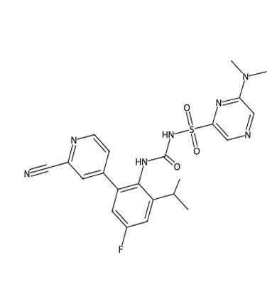 CC(C)c1cc(F)cc(-c2ccnc(C#N)c2)c1NC(=O)NS(=O)(=O)c1cncc(N(C)C)n1